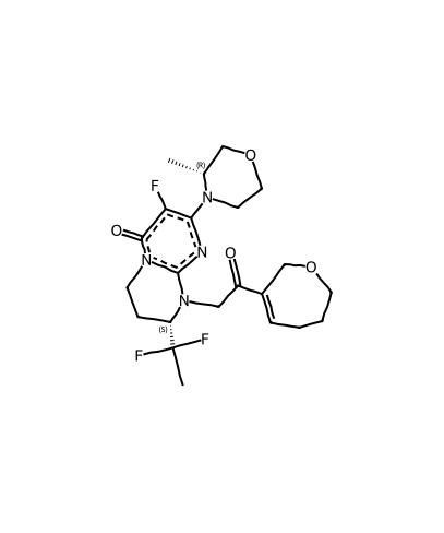 C[C@@H]1COCCN1c1nc2n(c(=O)c1F)CC[C@@H](C(C)(F)F)N2CC(=O)C1=CCCCOC1